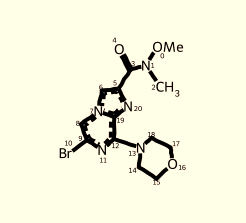 CON(C)C(=O)c1cn2cc(Br)nc(N3CCOCC3)c2n1